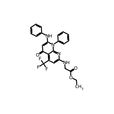 CCOC(=O)CNc1cc(C(F)(F)F)c2c(=O)cc(Nc3ccccc3)n(-c3ccccc3)c2n1